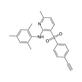 C#Cc1ccc(S(=O)(=O)c2ccc(C)nc2Nc2c(C)cc(C)cc2C)cc1